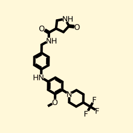 COc1cc(Nc2ccc(CNC(=O)C3CNC(=O)C3)cc2)ccc1N1CCC(C(F)(F)F)CC1